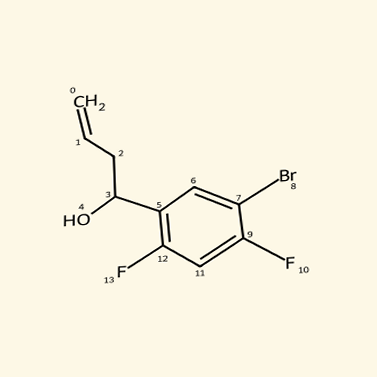 C=CCC(O)c1cc(Br)c(F)cc1F